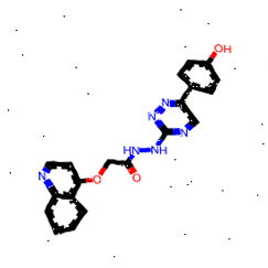 O=C(COc1ccnc2ccccc12)NNc1ncc(-c2ccc(O)cc2)nn1